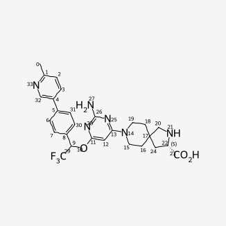 Cc1ccc(-c2ccc(C(Oc3cc(N4CCC5(CC4)CN[C@H](C(=O)O)C5)nc(N)n3)C(F)(F)F)cc2)cn1